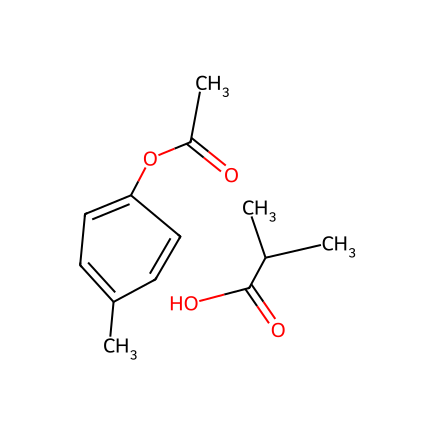 CC(=O)Oc1ccc(C)cc1.CC(C)C(=O)O